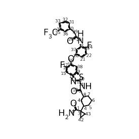 NC(=O)C1(C2CCCC(C(=O)Nc3nc4cc(F)c(Oc5ccc(F)c(NC(=O)Cc6cccc(C(F)(F)F)c6)c5)cc4s3)C2)CC1